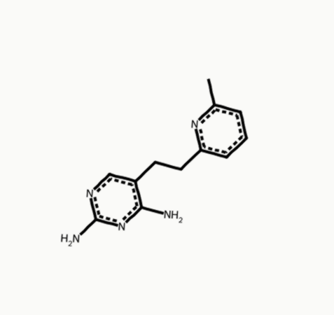 Cc1cccc(CCc2cnc(N)nc2N)n1